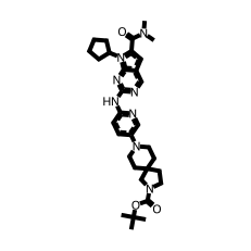 CN(C)C(=O)c1cc2cnc(Nc3ccc(N4CCC5(CCN(C(=O)OC(C)(C)C)C5)CC4)cn3)nc2n1C1CCCC1